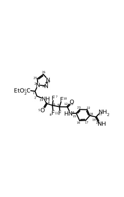 CCOC(=O)C(CNC(=O)C(F)(F)C(F)(F)C(=O)Nc1ccc(C(=N)N)cc1)n1ccnn1